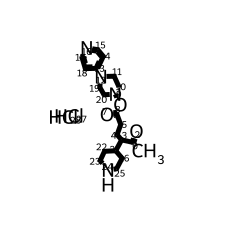 CC(=O)C(CCC(=O)ON1CCN(c2ccncc2)CC1)C1CCNCC1.Cl.Cl